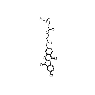 O=C(O)CCC(=O)OCCNCc1ccc2c(=O)n3c(nc2c1)C(=O)c1cc(Cl)ccc1-3